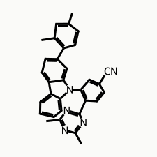 Cc1ccc(-c2ccc3c4ccccc4n(-c4cc(C#N)ccc4-c4nc(C)nc(C)n4)c3c2)c(C)c1